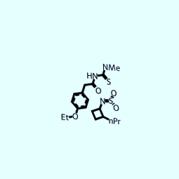 CCCC1CCC1N=S(=O)=O.CCOc1ccc(CC(=O)NC(=S)NC)cc1